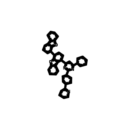 c1ccc(-c2cc(-c3ccc(-c4cccc5c4oc4ccccc45)c4oc5ccccc5c34)nc(-c3ccc(-c4ccccn4)cc3)n2)cc1